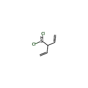 C=CC(C=C)[SiH](Cl)Cl